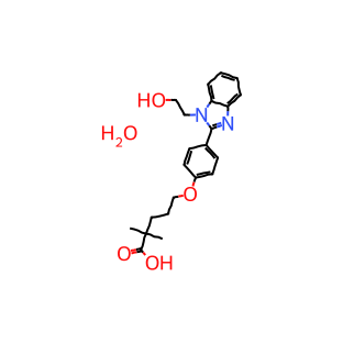 CC(C)(CCCOc1ccc(-c2nc3ccccc3n2CCO)cc1)C(=O)O.O